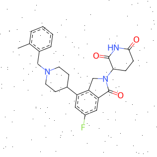 Cc1ccccc1CN1CCC(c2cc(F)cc3c2CN(C2CCC(=O)NC2=O)C3=O)CC1